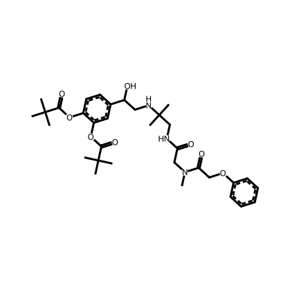 CN(CC(=O)NCC(C)(C)NCC(O)c1ccc(OC(=O)C(C)(C)C)c(OC(=O)C(C)(C)C)c1)C(=O)COc1ccccc1